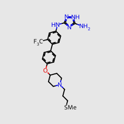 CSCCCN1CCC(Oc2ccc(-c3ccc(Nc4n[nH]c(N)n4)cc3C(F)(F)F)cc2)CC1